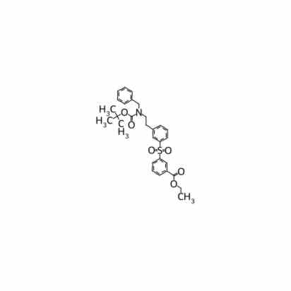 CCOC(=O)c1cccc(S(=O)(=O)c2cccc(CCN(Cc3ccccc3)C(=O)OC(C)(C)C)c2)c1